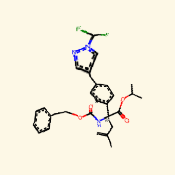 C=C(C)C[C@](NC(=O)OCc1ccccc1)(C(=O)OC(C)C)c1ccc(-c2cnn(C(F)F)c2)cc1